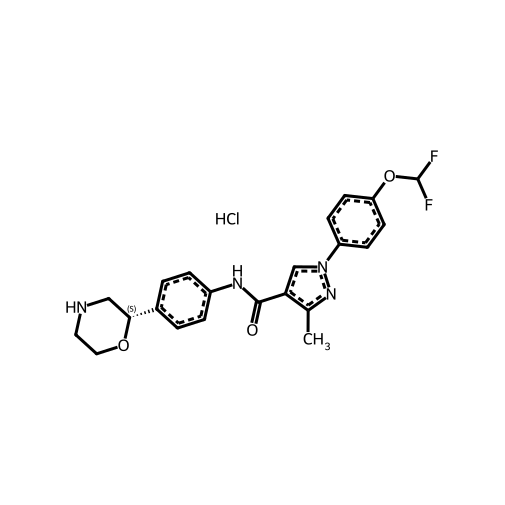 Cc1nn(-c2ccc(OC(F)F)cc2)cc1C(=O)Nc1ccc([C@H]2CNCCO2)cc1.Cl